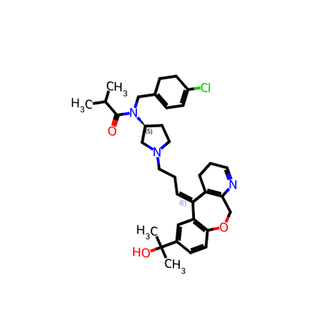 CC(C)C(=O)N(CC1=CC=C(Cl)CC1)[C@H]1CCN(CC/C=C2\C3=C(COc4ccc(C(C)(C)O)cc42)N=CCC3)C1